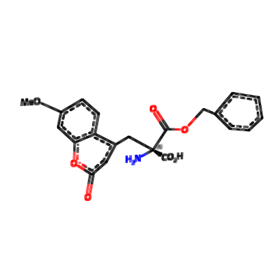 COc1ccc2c(C[C@](N)(C(=O)O)C(=O)OCc3ccccc3)cc(=O)oc2c1